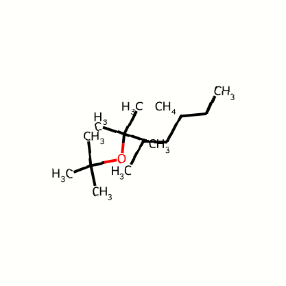 C.CC(C)(C)OC(C)(C)C.CCCCCC